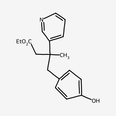 CCOC(=O)CC(C)(Cc1ccc(O)cc1)c1cccnc1